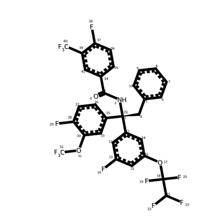 O=C(N[C@](Cc1ccccc1)(c1cc(F)cc(OC(F)(F)C(F)F)c1)c1ccc(F)c(OC(F)(F)F)c1)c1ccc(F)c(C(F)(F)F)c1